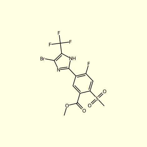 COC(=O)c1cc(-c2nc(Br)c(C(F)(F)F)[nH]2)c(F)cc1S(C)(=O)=O